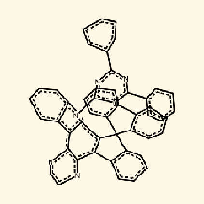 c1ccc(-c2nc(-c3ccccc3)nc(-n3c4ccccc4c4c5nccnc5c5c(c43)C3(c4ccccc4-c4ccccc43)c3ccccc3-5)n2)cc1